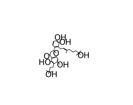 C/C(=C\Cc1c([C@@H]2CC(=O)c3c(cc(O)c(CCC(C)(C)O)c3O)O2)ccc(O)c1O)CCCC(C)(C)O